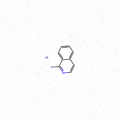 I.Ic1nccc2ccccc12